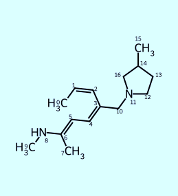 C\C=C/C(=C\C=C(/C)NC)CN1CCC(C)C1